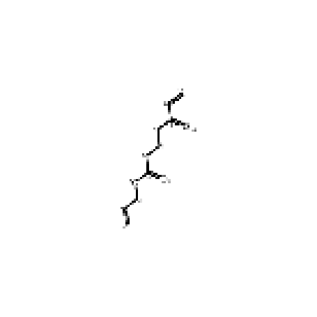 C=CCOC(=O)CCCC(=O)C=C